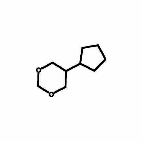 C1CCC(C2COCOC2)C1